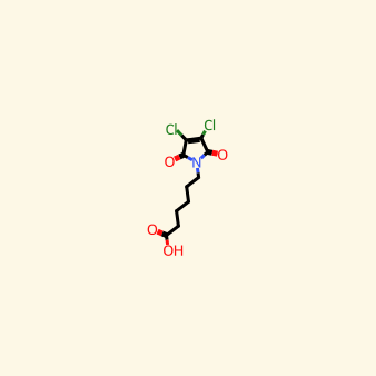 O=C(O)CCCCCN1C(=O)C(Cl)=C(Cl)C1=O